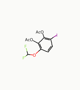 CC(=O)Oc1c(I)ccc(OC(F)F)c1OC(C)=O